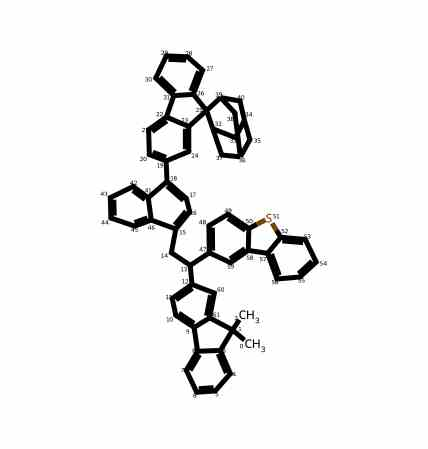 CC1(C)c2ccccc2-c2ccc(C(Cc3ccc(-c4ccc5c(c4)C4(c6ccccc6-5)C5CC6CC(C5)CC4C6)c4ccccc34)c3ccc4sc5ccccc5c4c3)cc21